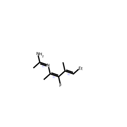 CC/C=C(C)/C(F)=C(C)\N=C(/C)N